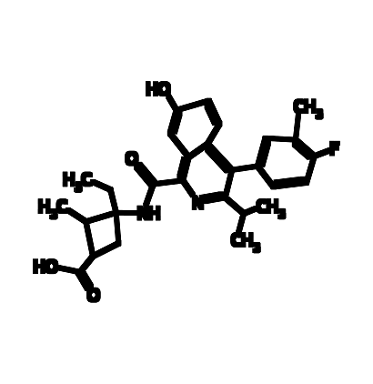 CCC1(NC(=O)c2nc(C(C)C)c(-c3ccc(F)c(C)c3)c3ccc(O)cc23)CC(C(=O)O)C1C